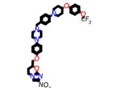 O=[N+]([O-])c1cn2c(n1)OC(COc1ccc(N3CCN(Cc4ccc(N5CCC(Oc6ccc(OC(F)(F)F)cc6)CC5)cc4)CC3)cc1)CC2